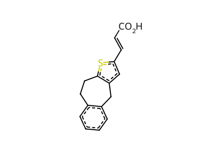 O=C(O)/C=C/c1cc2c(s1)CCc1ccccc1C2